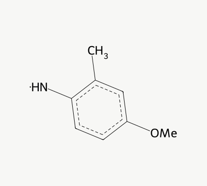 COc1ccc([NH])c(C)c1